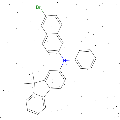 CC1(C)c2ccccc2-c2ccc(N(c3ccccc3)c3ccc4cc(Br)ccc4c3)cc21